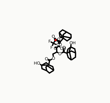 O=C(OCC(COC(=O)C12CC3CC(CC(O)(C3)C1)C2)OC(=O)C12CC3CC(CC(O)(C3)C1)C2)C12CC3CC(C1)C(OC(=O)C(F)(F)S(=O)(=O)O)C(C3)C2